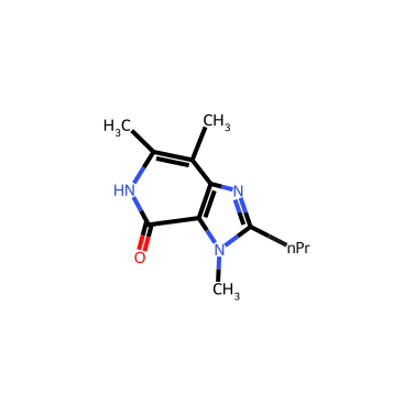 CCCc1nc2c(C)c(C)[nH]c(=O)c2n1C